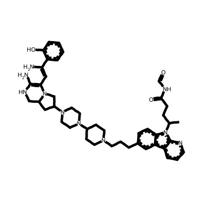 CC(CCC(=O)NC=O)n1c2ccc(CCCN3CCC(N4CCN(C5CC6CNC(N)=C(/C=C(\N)c7ccccc7O)N6C5)CC4)CC3)cc2c2cccnc21